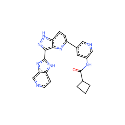 O=C(Nc1cncc(-c2ccc3[nH]nc(-c4nc5cnccc5[nH]4)c3n2)c1)C1CCC1